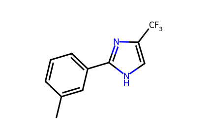 Cc1cccc(-c2nc(C(F)(F)F)c[nH]2)c1